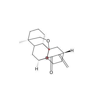 C=C1C(=O)C23CC[C@H]1CC2[C@@]12CCC[C@@]4(C)COC1O[C@@H]3CC42